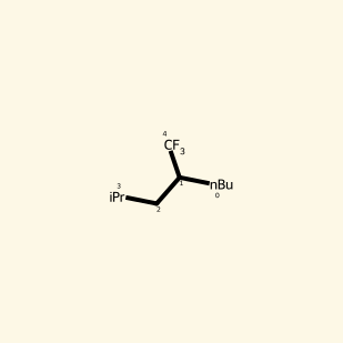 CCCCC(CC(C)C)C(F)(F)F